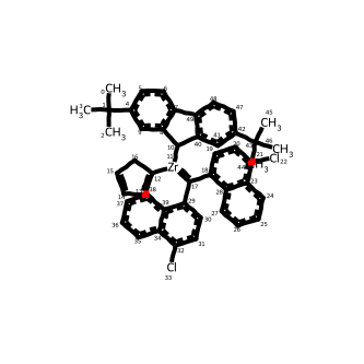 CC(C)(C)c1ccc2c(c1)[CH]([Zr]([C]1=CC=CC1)=[C](c1ccc(Cl)c3ccccc13)c1ccc(Cl)c3ccccc13)c1cc(C(C)(C)C)ccc1-2